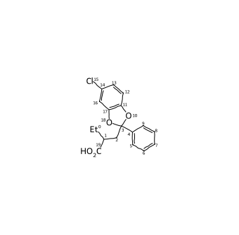 CCC(CC1(c2ccccc2)Oc2ccc(Cl)cc2O1)C(=O)O